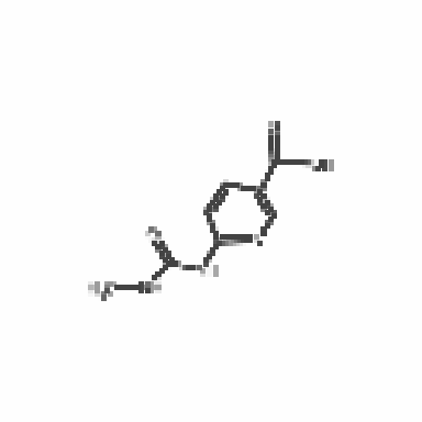 CNC(=O)Nc1ccc(C(=O)O)cn1